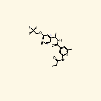 C=C=C(/C=C(\C=C/C)C(C)NC(=O)c1cc(C)nc(NC(=O)CC)c1)OCC(F)(F)I